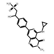 Cn1cnc2cc(-c3ccc(C(O)CS(N)(=O)=O)cc3)nc(NC3CC3)c2c1=O